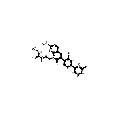 CSc1ncc2cc(-c3ccc(-c4cncc(C)n4)cc3Cl)c(=O)n(CCNC(=O)OC(C)(C)C)c2n1